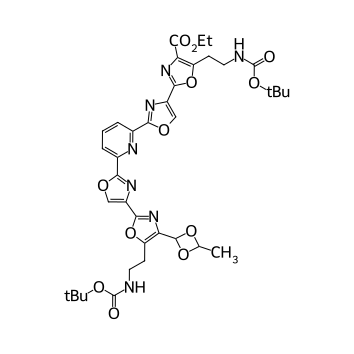 CCOC(=O)c1nc(-c2coc(-c3cccc(-c4nc(-c5nc(C6OC(C)O6)c(CCNC(=O)OC(C)(C)C)o5)co4)n3)n2)oc1CCNC(=O)OC(C)(C)C